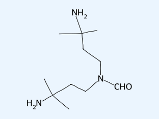 CC(C)(N)CCN(C=O)CCC(C)(C)N